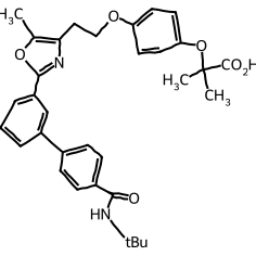 Cc1oc(-c2cccc(-c3ccc(C(=O)NC(C)(C)C)cc3)c2)nc1CCOc1ccc(OC(C)(C)C(=O)O)cc1